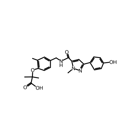 Cc1cc(CNC(=O)c2cc(-c3ccc(O)cc3)nn2C)ccc1OC(C)(C)C(=O)O